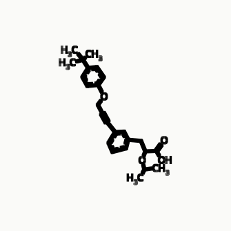 CC(C)OC(Cc1cccc(C#CCOc2ccc(C(C)(C)C)cc2)c1)C(=O)O